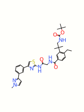 CCc1ccc(C(=O)NCC(=O)Nc2nc(-c3cccc(-c4ccn(C)n4)c3)cs2)cc1C(C)(C)CNC(=O)OC(C)(C)C